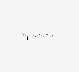 CCOC(=O)C(CC)(CC)C(=O)OCCCCCC(=O)O